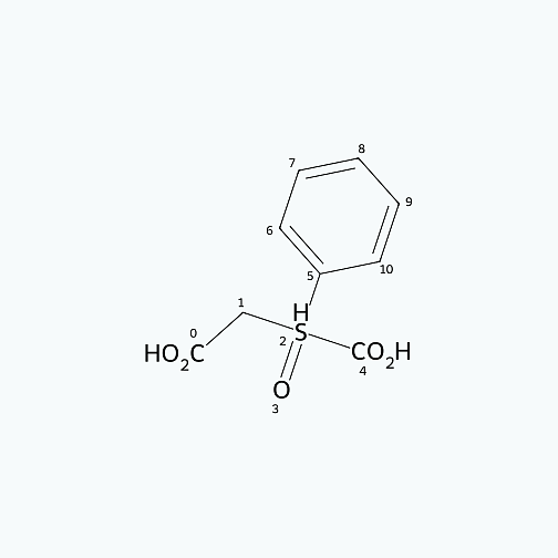 O=C(O)C[SH](=O)(C(=O)O)c1ccccc1